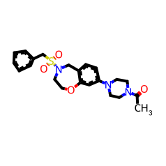 CC(=O)N1CCN(c2ccc3c(c2)OCCN(S(=O)(=O)Cc2ccccc2)C3)CC1